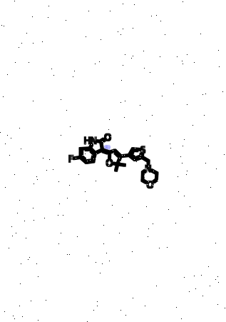 CC1(C)O/C(=C2/C(=O)Nc3cc(F)ccc32)C=C1c1csc(CN2CCOCC2)c1